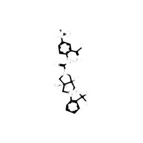 CC(=O)c1cc(S(C)(=O)=O)ccc1NC(=O)N1C[C@@H]2CN(c3ccccc3C(F)(F)F)C[C@@H]2C1